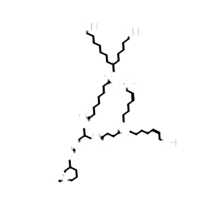 CC/C=C\CCCCOC(CCC(=O)OCC(COC(=O)CCCCCCC(=O)OCC(CCCCCC)CCCCCCCC)COC(=O)OCC1CCCN(CC)C1)OCCCC/C=C\CC